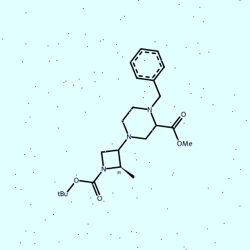 COC(=O)C1CN(C2CN(C(=O)OC(C)(C)C)[C@@H]2C)CCN1Cc1ccccc1